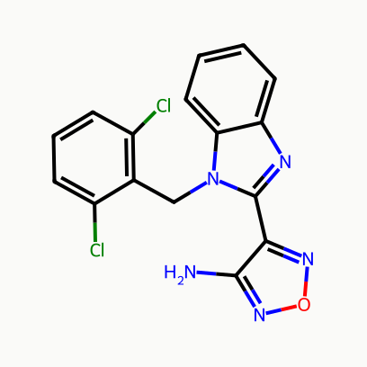 Nc1nonc1-c1nc2ccccc2n1Cc1c(Cl)cccc1Cl